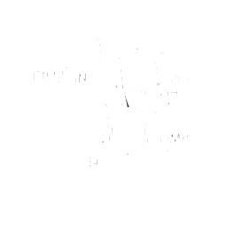 CCOC(=O)N1CC[C@@]2(c3c(C)c(Br)cc(OC)c3O)CC(=O)CCC2C1C